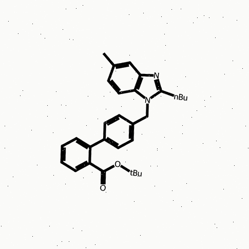 CCCCc1nc2cc(C)ccc2n1Cc1ccc(-c2ccccc2C(=O)OC(C)(C)C)cc1